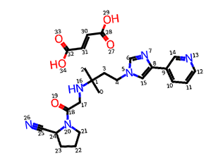 CC(C)(CCn1cnc(-c2cccnc2)c1)NCC(=O)N1CCCC1C#N.O=C(O)C=CC(=O)O